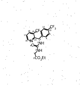 CCOC(=O)CNC(=O)N[C@@H](c1ccc(C(F)(F)F)cc1)c1ncccc1C(F)(F)F